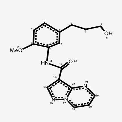 COc1ccc(CCCO)cc1NC(=O)c1cnn2cccnc12